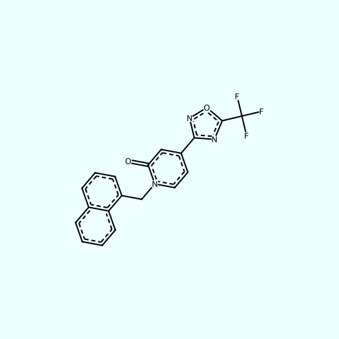 O=c1cc(-c2noc(C(F)(F)F)n2)ccn1Cc1cccc2ccccc12